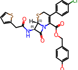 COc1ccc(COC(=O)C2=C(c3ccc(Cl)cc3)CS[C@H]3[C@H](NC(=O)Cc4cccs4)C(=O)N23)cc1